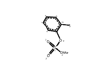 COS(=O)(=O)Oc1ccccc1C